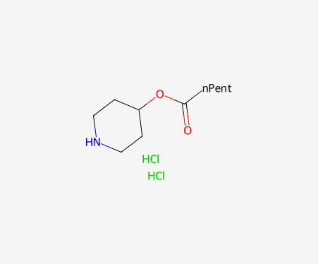 CCCCCC(=O)OC1CCNCC1.Cl.Cl